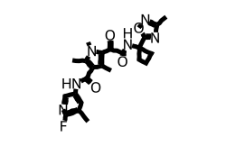 Cc1noc(C2(NC(=O)C(=O)c3c(C)c(C(=O)Nc4cnc(F)c(C)c4)c(C)n3C)CCC2)n1